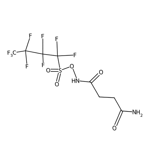 NC(=O)CCC(=O)NOS(=O)(=O)C(F)(F)C(F)(F)C(F)(F)C(F)(F)F